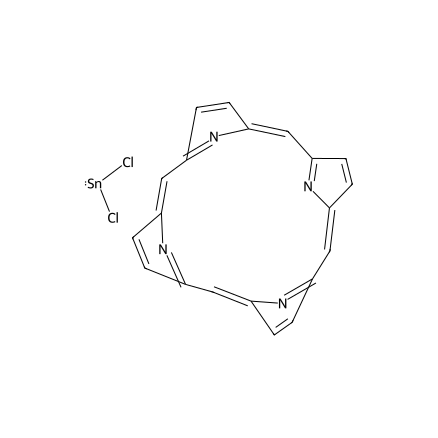 C1=CC2=NC1=CC1=NC(=CC3=NC(=CC4=NC(=C2)C=C4)C=C3)C=C1.[Cl][Sn][Cl]